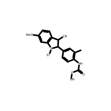 CCCOC(=O)Nc1ccc(C2C(C#N)c3ccc(OC)cc3N2CC)cc1C